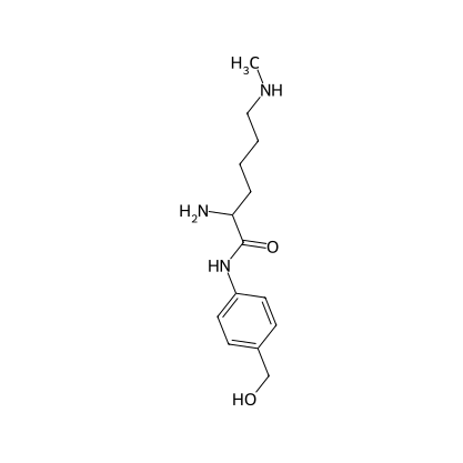 CNCCCCC(N)C(=O)Nc1ccc(CO)cc1